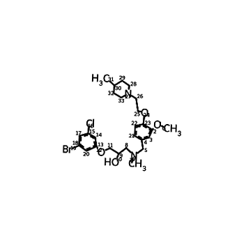 COc1cc(CN(C)CC(O)COc2cc(Cl)cc(Br)c2)ccc1OCCN1CCC(C)CC1